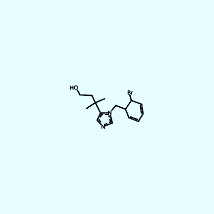 CC(C)(CCO)c1cncn1CC1C=CC=CC1Br